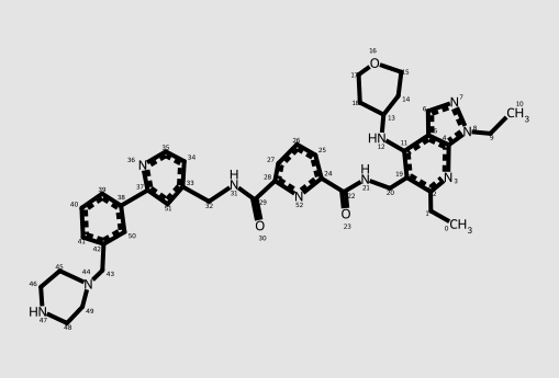 CCc1nc2c(cnn2CC)c(NC2CCOCC2)c1CNC(=O)c1cccc(C(=O)NCc2ccnc(-c3cccc(CN4CCNCC4)c3)c2)n1